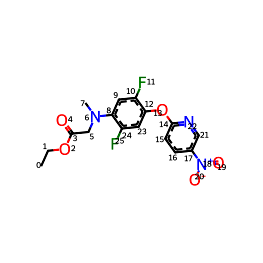 CCOC(=O)CN(C)c1cc(F)c(Oc2ccc([N+](=O)[O-])cn2)cc1F